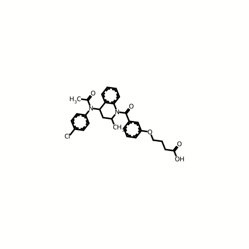 CC(=O)N(c1ccc(Cl)cc1)C1CC(C)N(C(=O)c2cccc(OCCCC(=O)O)c2)c2ccccc21